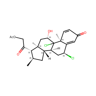 CC(=O)OCC(=O)[C@H]1[C@H](C)C[C@H]2[C@@H]3C[C@H](Cl)C4=CC(=O)C=C[C@]4(C)C3(Cl)[C@@H](O)C[C@@]21C